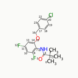 CC(C)(C)C(=O)Nc1c(F)cc(F)cc1OCc1ccc(Cl)cc1